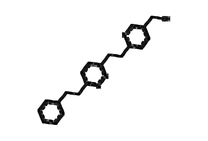 OCc1ccc(CCc2ccc(CCc3ccccc3)nn2)nc1